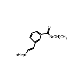 CCCCCCCC=Cc1cccc(C(=O)N(C)O)c1